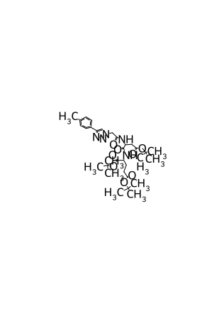 Cc1ccc(-c2cn(CC(=O)NC(CC(=O)OC(C)(C)C)C(=O)NC(CCC(=O)OC(C)(C)C)C(=O)OC(C)(C)C)nn2)cc1